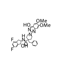 COc1cc2nc(N3CCC(Cc4ccccc4)(C(=O)NC4Cc5c(F)cc(F)cc5C4O)CC3)nc(O)c2cc1OC